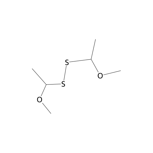 COC(C)SSC(C)OC